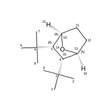 CC(C)(C)[C@@H]1[C@H](C(C)(C)C)[C@H]2CC[C@@H]1O2